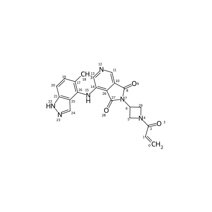 C=CC(=O)N1CC(N2C(=O)c3cncc(Nc4c(C)ccc5[nH]ncc45)c3C2=O)C1